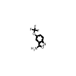 Nc1onc2ccc(OC(F)(F)F)cc12